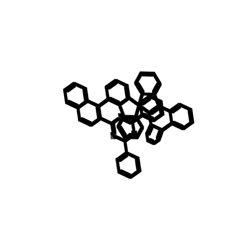 C1=CC2=C(CC1)C1(c3ccccc3-c3c1c1ccccc1c1ccccc31)c1cccc(-c3c(-c4nc(-c5ccccc5)nc(-c5ccccc5)n4)ccc4ccccc34)c12